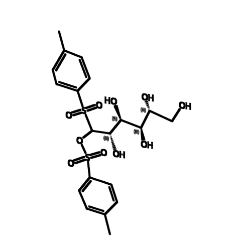 Cc1ccc(S(=O)(=O)OC([C@@H](O)[C@@H](O)[C@H](O)[C@H](O)CO)S(=O)(=O)c2ccc(C)cc2)cc1